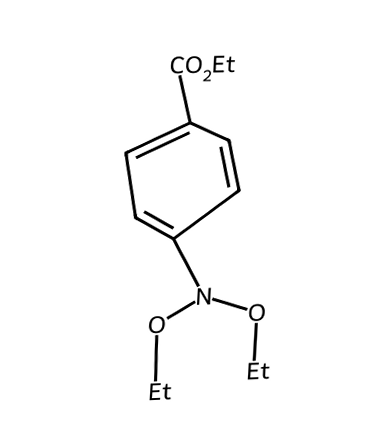 CCOC(=O)c1ccc(N(OCC)OCC)cc1